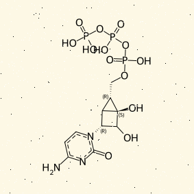 Nc1ccn([C@H]2C(O)[C@]3(O)C2[C@@H]3COP(=O)(O)OP(=O)(O)OP(=O)(O)O)c(=O)n1